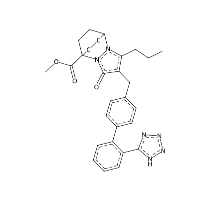 CCCc1c(Cc2ccc(-c3ccccc3-c3nnn[nH]3)cc2)c(=O)n2n1C1CCC2(C(=O)OC)CC1